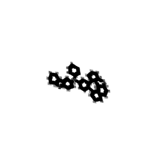 c1ccc(N(c2ccc3c(c2)-c2cccc4sc5ccc6cccc-3c6c5c24)c2ccc3sc4ccccc4c3c2)cc1